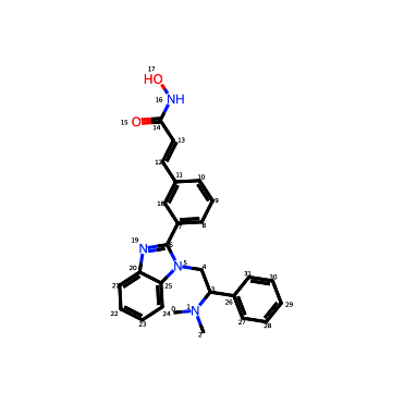 CN(C)C(Cn1c(-c2cccc(C=CC(=O)NO)c2)nc2ccccc21)c1ccccc1